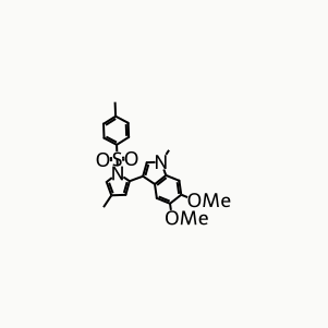 COc1cc2c(-c3cc(C)cn3S(=O)(=O)c3ccc(C)cc3)cn(C)c2cc1OC